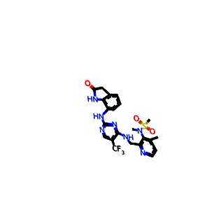 Cc1ccnc(CNc2nc(Nc3cccc4c3NC(=O)C4)ncc2C(F)(F)F)c1N(C)S(C)(=O)=O